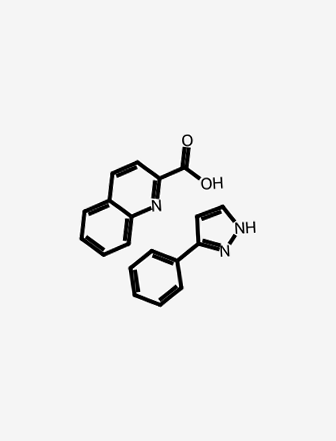 O=C(O)c1ccc2ccccc2n1.c1ccc(-c2cc[nH]n2)cc1